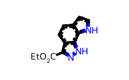 CCOC(=O)c1n[nH]c2c1ccc1cc[nH]c12